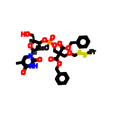 COP(=O)(OCC(COCSSC(C)C)(C(=O)OCc1ccccc1)C(=O)OCc1ccccc1)OC1C[C@H](n2cc(C)c(=O)[nH]c2=O)O[C@@H]1CO